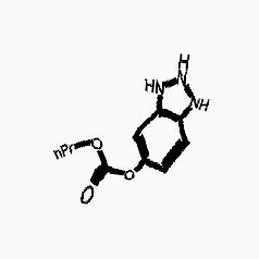 CCCOC(=O)Oc1ccc2c(c1)NNN2